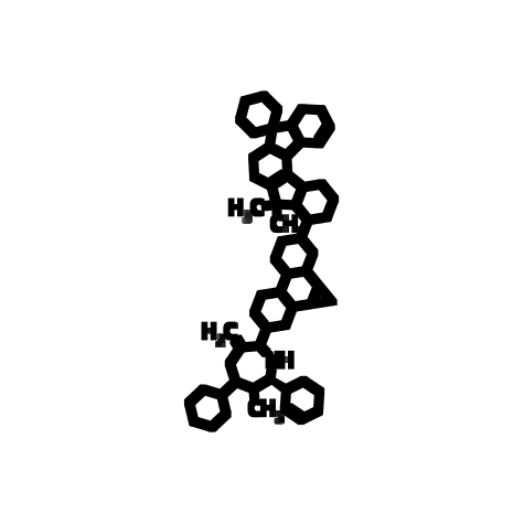 C=C1CC(C2CCCCC2)C(C)[C@H](C2C=CCCC2)NC1C1CCC2C3CCC(C4CCCC5C6=C(CCC7C6C6C=CCCC6C76CCCCC6)C(C)(C)C54)CC3C3CC3C2C1